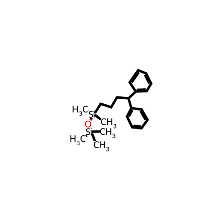 C[Si](C)(C)O[Si](C)(C)CCCC(c1ccccc1)c1ccccc1